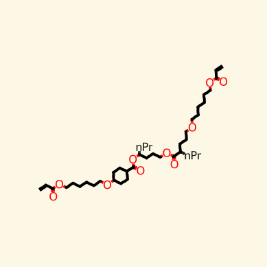 C=CC(=O)OCCCCCCOCCCC(CCC)C(=O)OCCCC(CCC)OC(=O)C1CCC(OCCCCCCOC(=O)C=C)CC1